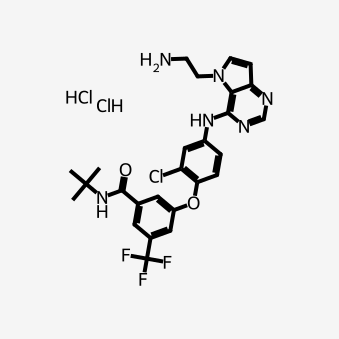 CC(C)(C)NC(=O)c1cc(Oc2ccc(Nc3ncnc4ccn(CCN)c34)cc2Cl)cc(C(F)(F)F)c1.Cl.Cl